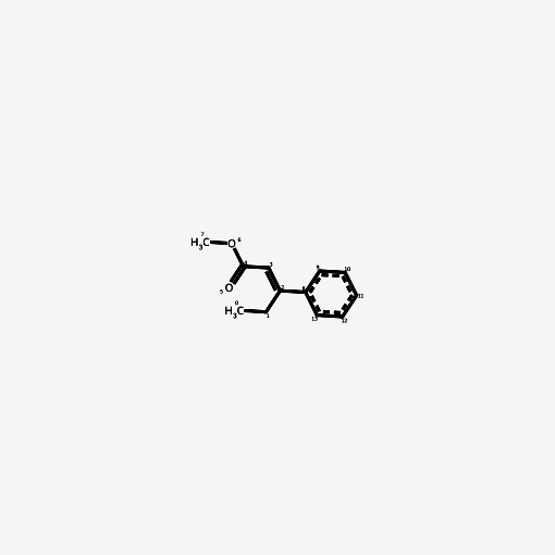 CC/C(=C\C(=O)OC)c1ccccc1